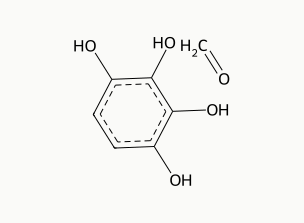 C=O.Oc1ccc(O)c(O)c1O